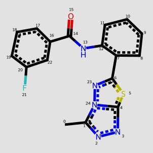 Cc1nnc2sc(-c3ccccc3NC(=O)c3cccc(F)c3)nn12